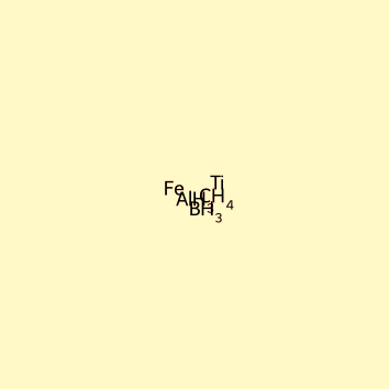 B.C.[AlH3].[Fe].[Ti]